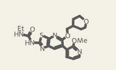 CCNC(=O)Nc1nc2cc(-c3cccnc3OC)c(OCC3CCOCC3)nc2s1